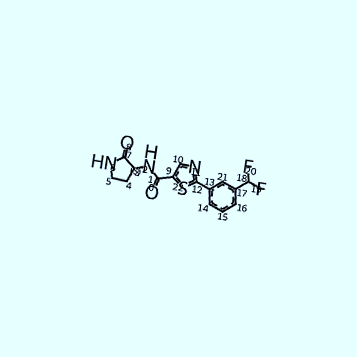 O=C(N[C@H]1CCNC1=O)c1cnc(-c2cccc(C(F)F)c2)s1